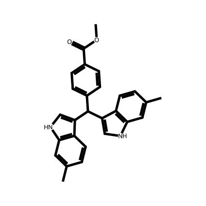 COC(=O)c1ccc(C(c2c[nH]c3cc(C)ccc23)c2c[nH]c3cc(C)ccc23)cc1